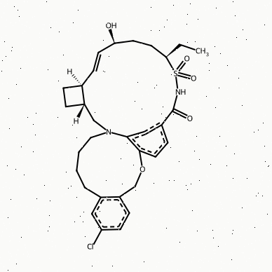 CC[C@@H]1CC[C@H](O)/C=C/[C@@H]2CC[C@H]2CN2CCCCc3cc(Cl)ccc3COc3ccc(cc32)C(=O)NS1(=O)=O